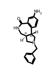 Nc1ccc2c(c1)C(=O)NC[C@@H]1CN(Cc3ccccc3)C[C@@H]21